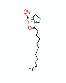 C=CCCCCCCCCC(=O)N1CCC[C@H]1C(=O)O